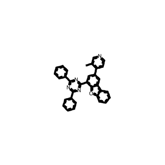 Cc1cnccc1-c1cc(-c2nc(-c3ccccc3)nc(-c3ccccc3)n2)c2oc3ccccc3c2c1